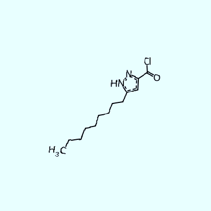 CCCCCCCCCc1cc(C(=O)Cl)n[nH]1